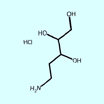 Cl.NCCC(O)C(O)CO